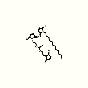 CCCCCCCCCCCCN1C(=O)C=CC1=O.O=C(OCCN1C(=O)C=CC1=O)OCCN1C(=O)C=CC1=O